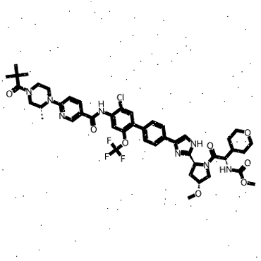 COC(=O)N[C@H](C(=O)N1C[C@H](OC)C[C@H]1c1nc(-c2ccc(-c3cc(Cl)c(NC(=O)c4ccc(N5CCN(C(=O)C(C)(C)C)C[C@H]5C)nc4)cc3OC(F)(F)F)cc2)c[nH]1)C1CCOCC1